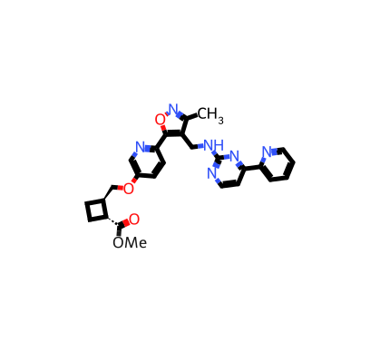 COC(=O)[C@@H]1CC[C@H]1COc1ccc(-c2onc(C)c2CNc2nccc(-c3ccccn3)n2)nc1